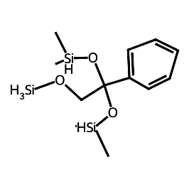 C[SiH](C)OC(CO[SiH3])(O[SiH](C)C)c1ccccc1